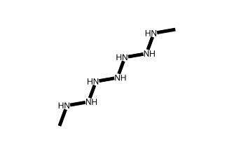 CNNNNNNNC